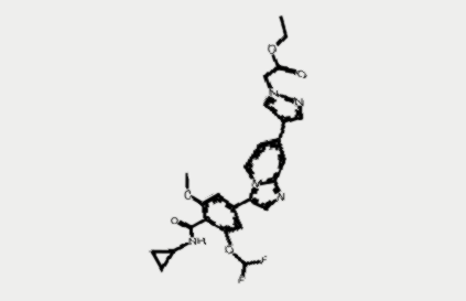 CCOC(=O)Cn1cc(-c2ccn3c(-c4cc(OC)c(C(=O)NC5CC5)c(OC(F)F)c4)cnc3c2)cn1